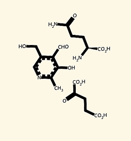 Cc1ncc(CO)c(C=O)c1O.NC(=O)CC[C@H](N)C(=O)O.O=C(O)CCC(=O)C(=O)O